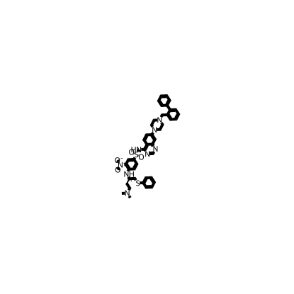 CN(C)CC[C@H](CSc1ccccc1)Nc1ccc(S(=O)(=O)Nc2ncnc3cc(N4CCN(Cc5ccccc5-c5ccccc5)CC4)ccc23)cc1[N+](=O)[O-]